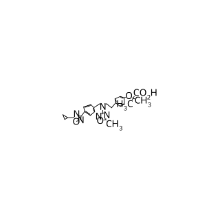 Cc1nc(N(CCc2ccc(OC(C)(C)C(=O)O)cc2)Cc2ccc(-c3noc(C4CC4)n3)cc2)no1